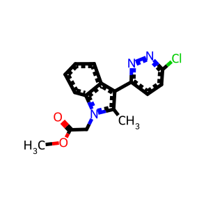 COC(=O)Cn1c(C)c(-c2ccc(Cl)nn2)c2ccccc21